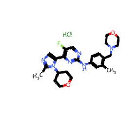 Cc1cc(Nc2ncc(F)c(-c3cnc(C)n3C3CCOCC3)n2)ccc1CN1CCOCC1.Cl